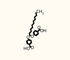 CCCCCCCCCCCCC(Oc1ccc(C(=O)O)cc1)Oc1ccc(C(=O)O)cc1